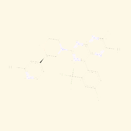 Cc1cc([C@@H]2CN(c3nc(-c4ccc(Cl)cc4C(F)(F)F)c4nc(C)c(C)nc4n3)CCO2)ccn1